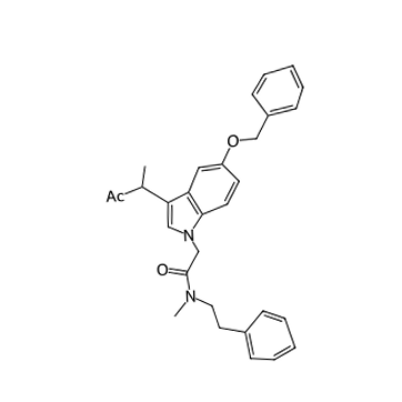 CC(=O)C(C)c1cn(CC(=O)N(C)CCc2ccccc2)c2ccc(OCc3ccccc3)cc12